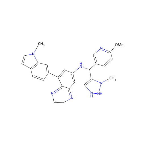 COc1ccc([C@@H](Nc2cc(-c3ccc4ccn(C)c4c3)c3nccnc3c2)C2=CNNN2C)cn1